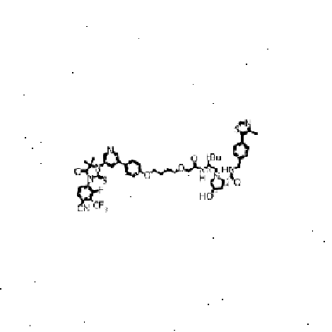 Cc1ncsc1-c1ccc(CNC(=O)[C@@H]2C[C@@H](O)CN2C[C@@H](NC(=O)COCCCCOc2ccc(-c3cncc(N4C(=S)N(c5ccc(C#N)c(C(F)(F)F)c5F)C(=O)C4(C)C)c3)cc2)C(C)(C)C)cc1